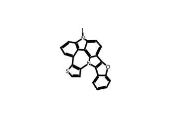 In1c2cccc3c4sccc4n4c5c6ccccc6oc5c5ccc1c(c32)c54